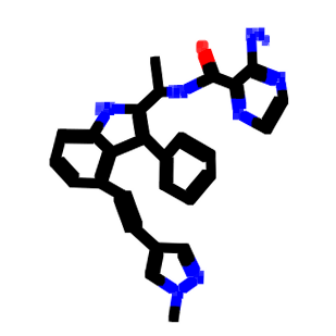 CC(NC(=O)c1nccnc1N)c1[nH]c2cccc(C#Cc3cnn(C)c3)c2c1-c1ccccc1